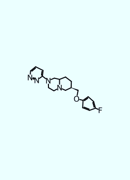 Fc1ccc(OC[C@@H]2CCC3CN(c4cccnn4)CCN3C2)cc1